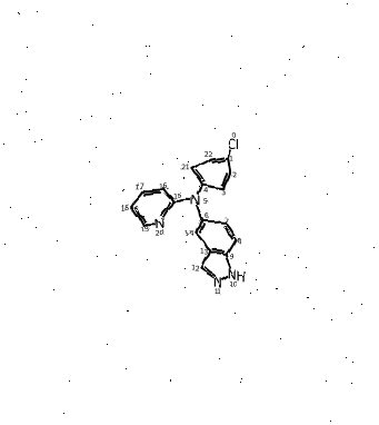 Clc1ccc(N(c2ccc3[nH]ncc3c2)c2[c]cccn2)cc1